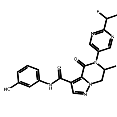 CC1Cn2ncc(C(=O)Nc3cccc(C#N)c3)c2C(=O)N1c1cnc(C(F)F)nc1